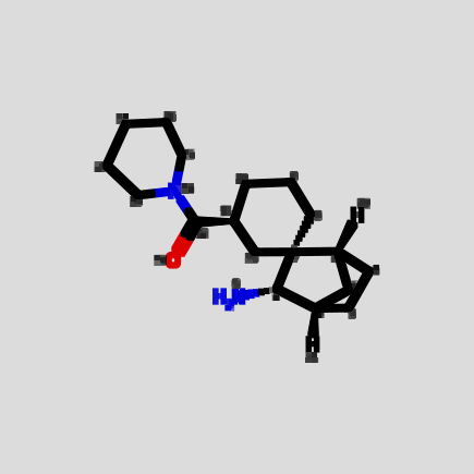 N[C@H]1[C@H]2CC[C@H](C2)[C@@]12CCC[C@H](C(=O)N1CCCCC1)C2